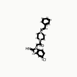 N=c1sc2cc(Cl)ccc2n1CC(=O)N1CCN(/N=C/c2ccccc2)CC1